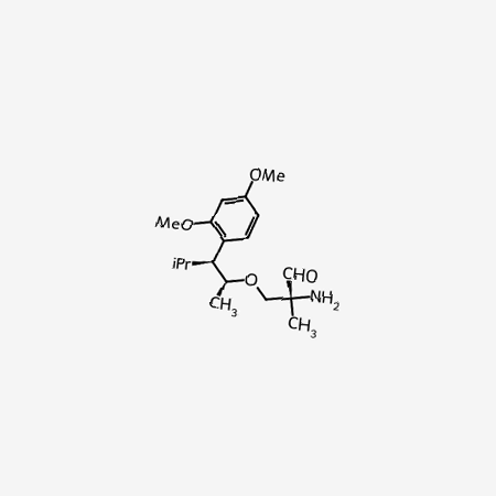 COc1ccc([C@H](C(C)C)[C@H](C)OC[C@@](C)(N)C=O)c(OC)c1